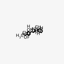 CN(C)C(=O)c1cc(O)c(-c2ccc(N(C)[C@@H]3C[C@H]4CC[C@H](N4)[C@@H]3F)nn2)cc1F